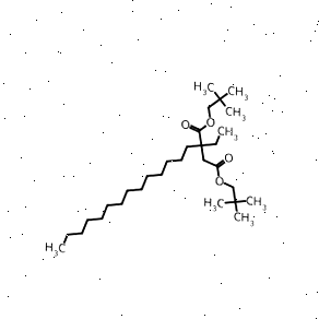 CCCCCCCCCCCCCCC(CC)(CC(=O)OCC(C)(C)C)C(=O)OCC(C)(C)C